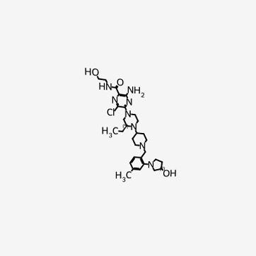 CC[C@H]1CN(c2nc(N)c(C(=O)NCCO)nc2Cl)CCN1C1CCN(Cc2ccc(C)cc2N2CC[C@@H](O)C2)CC1